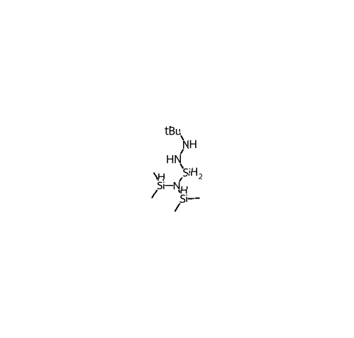 C[SiH](C)N([SiH2]NNC(C)(C)C)[SiH](C)C